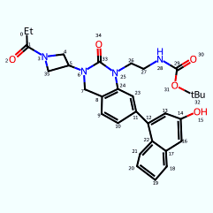 CCC(=O)N1CC(N2Cc3ccc(-c4cc(O)cc5ccccc45)cc3N(CCNC(=O)OC(C)(C)C)C2=O)C1